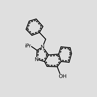 CC(C)c1nc2cc(O)c3ccccc3c2n1Cc1ccccc1